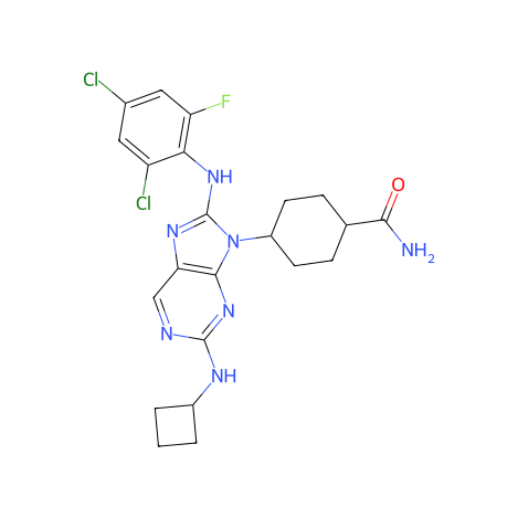 NC(=O)C1CCC(n2c(Nc3c(F)cc(Cl)cc3Cl)nc3cnc(NC4CCC4)nc32)CC1